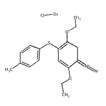 CCOC1=CC(Sc2ccc(C)cc2)=C(OCC)CC1=[N+]=[N-].[Cl][Zn]